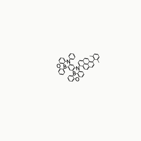 Cc1cccc(C)c1-c1ccc2ccc3c(N4c5cc6c(cc5B5c7ccccc7Oc7cccc4c75)B4c5ccccc5Oc5cccc(c54)N6c4ccccc4)ccc4ccc1c2c43